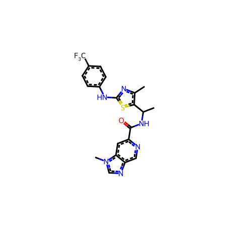 Cc1nc(Nc2ccc(C(F)(F)F)cc2)sc1C(C)NC(=O)c1cc2c(cn1)ncn2C